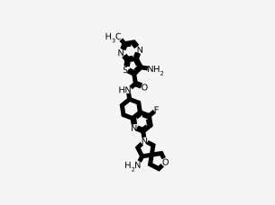 Cc1cnc2c(N)c(C(=O)NC3CCc4nc(N5CC(N)C6(CCOC6)C5)cc(F)c4C3)sc2n1